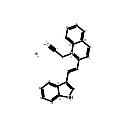 C#CC[n+]1c(C=Cc2c[nH]c3ccccc23)ccc2ccccc21.[Br-]